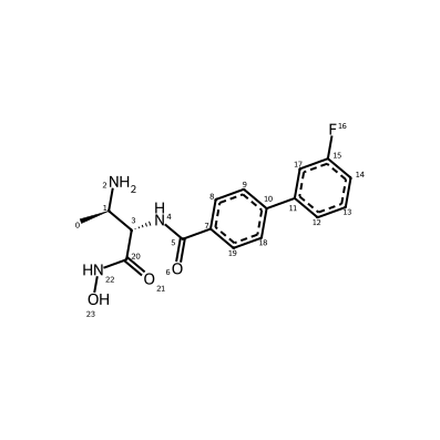 C[C@@H](N)[C@H](NC(=O)c1ccc(-c2cccc(F)c2)cc1)C(=O)NO